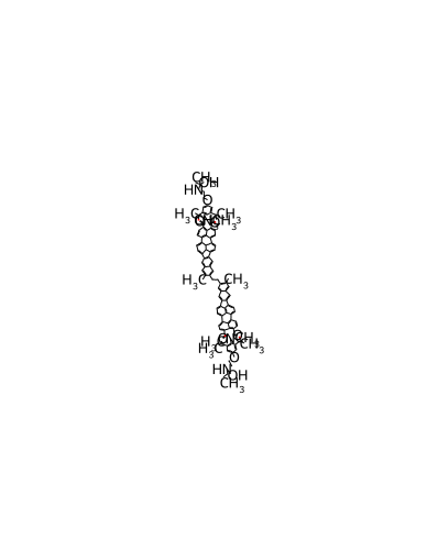 CCC(O)NCCOc1cc(C(C)C)c(N2C(=O)c3ccc4c5c(ccc(c35)C2=O)C2=CC=C3c5cc6cc(CCc7cc8cc9c(cc8cc7C)-c7ccc8c%10ccc%11c%12c(ccc(c%13ccc-9c7c8%13)c%12%10)C(=O)N(c7c(C(C)C)cc(OCCNC(O)CC)cc7C(C)C)C%11=O)c(C)cc6cc5C5=CC=C4C2C53)c(C(C)C)c1